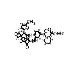 COC(=O)C1CCCCN1C(=O)c1cccc(Nc2c(NC(c3ccc(C)o3)C3(C)COC3)c(=O)c2=O)c1